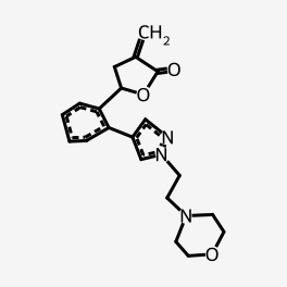 C=C1CC(c2ccccc2-c2cnn(CCN3CCOCC3)c2)OC1=O